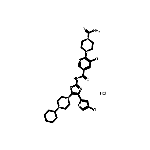 Cl.NC(=O)N1CCN(c2ncc(C(=O)Nc3nc(-c4cc(Cl)cs4)c(N4CCN(C5CCCCC5)CC4)s3)cc2Cl)CC1